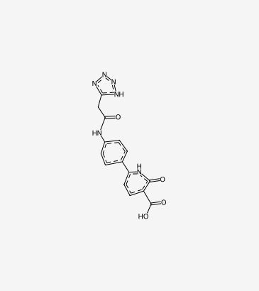 O=C(Cc1nnn[nH]1)Nc1ccc(-c2ccc(C(=O)O)c(=O)[nH]2)cc1